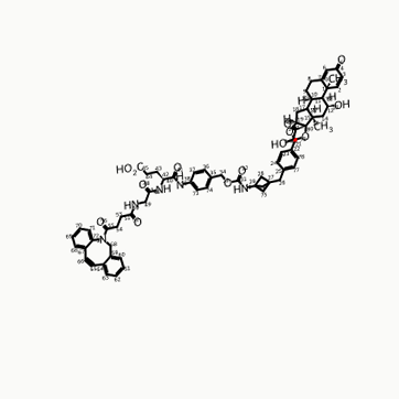 C[C@]12C=CC(=O)C=C1CC[C@@H]1[C@@H]2[C@@H](O)C[C@@]2(C)[C@H]1C[C@H]1OC(c3ccc(CC45CC(NC(=O)OCc6ccc(NC(=O)[C@H](CCC(=O)O)NC(=O)CNC(=O)CCC(=O)N7Cc8ccccc8C#Cc8ccccc87)cc6)(C4)C5)cc3)O[C@]12C(=O)CO